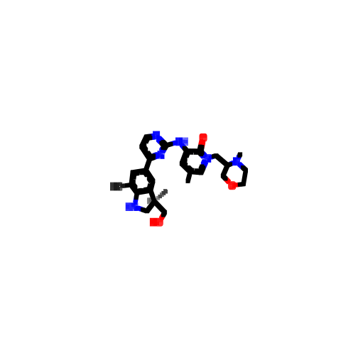 Cc1cc(Nc2nccc(-c3cc(C#N)c4c(c3)[C@@](C)(CO)CN4)n2)c(=O)n(CC2COCCN2C)c1